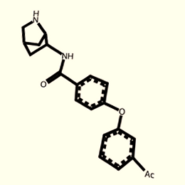 CC(=O)c1cccc(Oc2ccc(C(=O)NC3CC4CNC3C4)cc2)c1